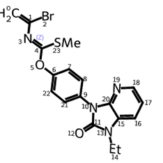 C=C(Br)/N=C(/Oc1ccc(-n2c(=O)n(CC)c3cccnc32)cc1)SC